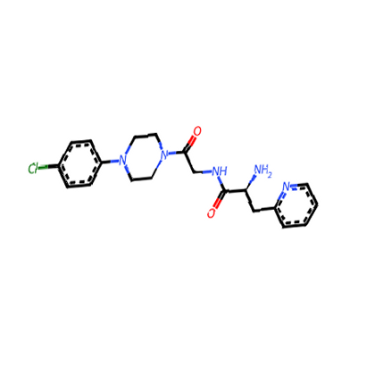 N[C@@H](Cc1ccccn1)C(=O)NCC(=O)N1CCN(c2ccc(Cl)cc2)CC1